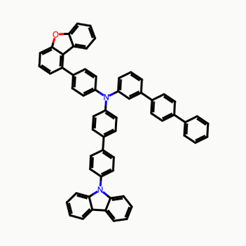 c1ccc(-c2ccc(-c3cccc(N(c4ccc(-c5ccc(-n6c7ccccc7c7ccccc76)cc5)cc4)c4ccc(-c5cccc6oc7ccccc7c56)cc4)c3)cc2)cc1